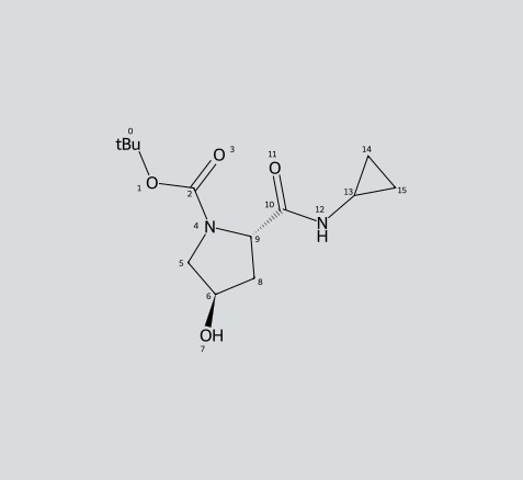 CC(C)(C)OC(=O)N1C[C@H](O)C[C@H]1C(=O)NC1CC1